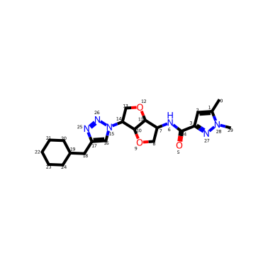 Cc1cc(C(=O)NC2COC3C2OCC3n2cc(CC3CCCCC3)nn2)nn1C